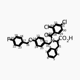 O=C(O)C(Cc1ccccc1)N(Cc1ccc(OCc2ccc(F)cc2)cc1)C(=O)c1ccc(Cl)cc1Cl